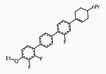 CCCC1CC=C(c2ccc(-c3ccc(-c4ccc(OCC)c(F)c4F)cc3)c(F)c2)CC1